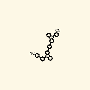 N#Cc1ccc(-c2cccc(-n3c4ccccc4c4cc(-c5ccc(-c6ccc7c(c6)c6ccccc6n7-c6cccc(C#N)c6)cc5)ccc43)c2)cc1